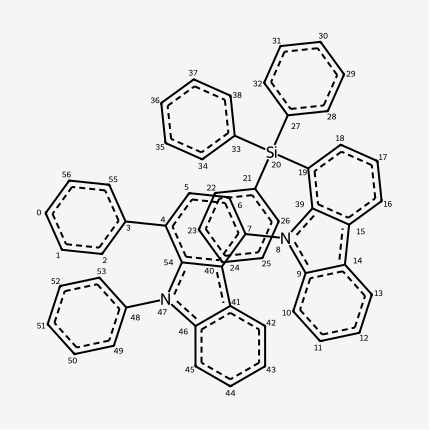 c1ccc(-c2ccc(-n3c4ccccc4c4cccc([Si](c5ccccc5)(c5ccccc5)c5ccccc5)c43)c3c4ccccc4n(-c4ccccc4)c23)cc1